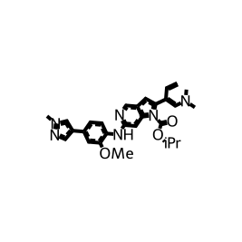 C=C/C(=C\N(C)C)c1cc2cnc(Nc3ccc(-c4cnn(C)c4)cc3OC)cc2n1C(=O)OC(C)C